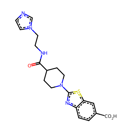 O=C(O)c1ccc2nc(N3CCC(C(=O)NCCn4ccnc4)CC3)sc2c1